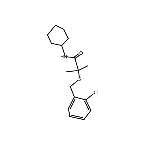 CC(C)(SCc1ccccc1Cl)C(=O)NC1CCCCC1